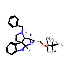 CC(C)(C)[Si](C)(C)OC[C@H]1[C@@H]2[C@@H]3N(Cc4ccccc4)CC[C@@]34c3ccccc3N[C@H]4N21